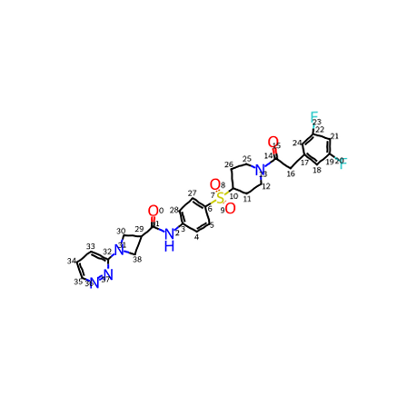 O=C(Nc1ccc(S(=O)(=O)C2CCN(C(=O)Cc3cc(F)cc(F)c3)CC2)cc1)C1CN(c2cccnn2)C1